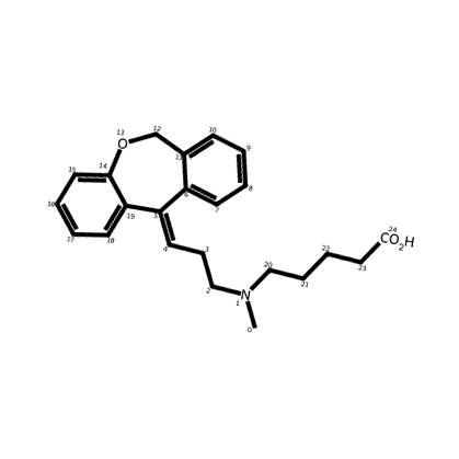 CN(CC/C=C1\c2ccccc2COc2ccccc21)CCCCC(=O)O